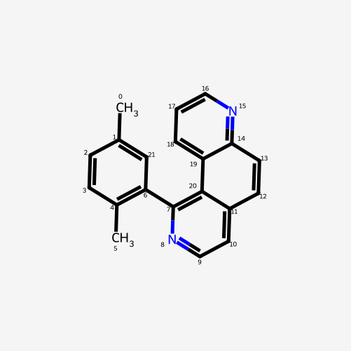 Cc1ccc(C)c(-c2nccc3ccc4ncccc4c23)c1